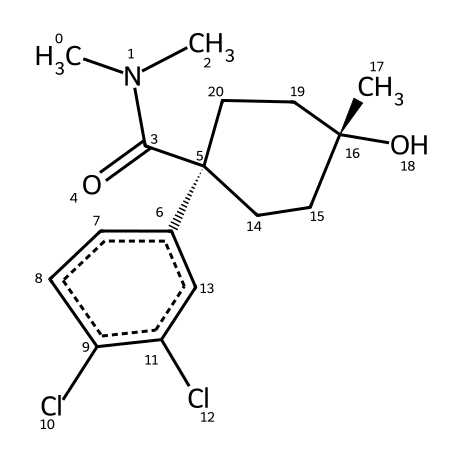 CN(C)C(=O)[C@]1(c2ccc(Cl)c(Cl)c2)CC[C@@](C)(O)CC1